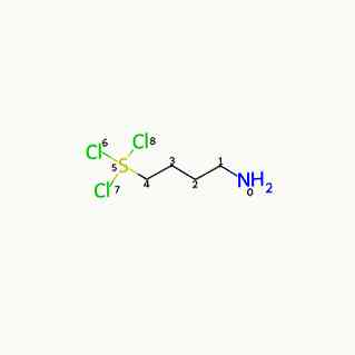 NCCCCS(Cl)(Cl)Cl